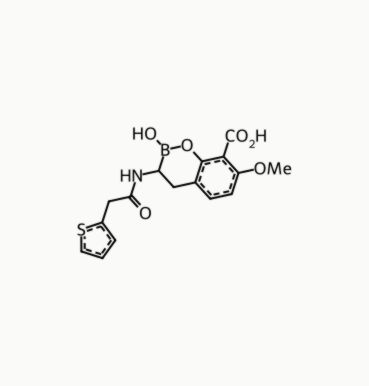 COc1ccc2c(c1C(=O)O)OB(O)C(NC(=O)Cc1cccs1)C2